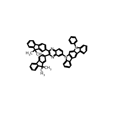 CC1(C)c2ccccc2-c2ccc(-c3nc4ccc(-n5c6ccccc6c6cc7c8ccccc8n(-c8ccccc8)c7cc65)cc4nc3-c3ccc4c(c3)C(C)(C)c3ccccc3-4)cc21